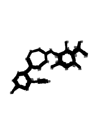 Cc1ccc(C2=CCCC(Cc3c(C)cc(C)c(C(C)C)c3C)CC2)c(C#N)c1